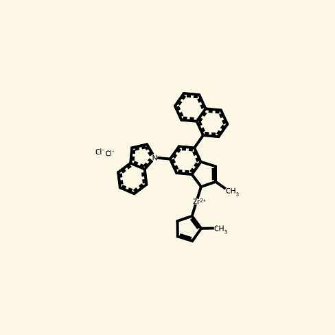 CC1=Cc2c(-c3cccc4ccccc34)cc(-n3ccc4ccccc43)cc2[CH]1[Zr+2][C]1=C(C)C=CC1.[Cl-].[Cl-]